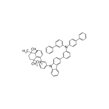 CC1(C)CCC(C)(C)c2c(-c3cccc(-n4c5ccccc5c5cc(-c6cccc(N(c7ccc(-c8ccccc8)cc7)c7cccc(-c8ccccc8)c7)c6)ccc54)c3)cccc21